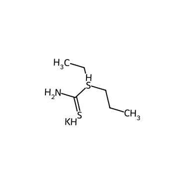 CCC[SH](CC)C(N)=S.[KH]